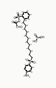 Nc1ccc(S(=O)(=O)CCCCCCCCCCCCc2ccccc2S(=O)(=O)OC(=O)C=O)cc1.[O]=[Ti]([OH])[OH]